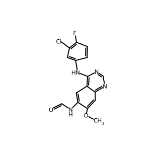 COc1cc2ncnc(Nc3ccc(F)c(Cl)c3)c2cc1NC=O